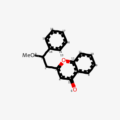 COC(Cc1cc(=O)c2ccccc2o1)c1ccccc1